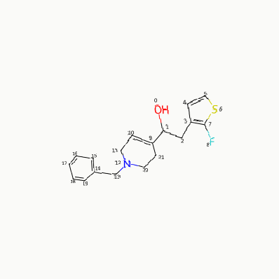 OC(Cc1ccsc1F)C1=CCN(Cc2ccccc2)CC1